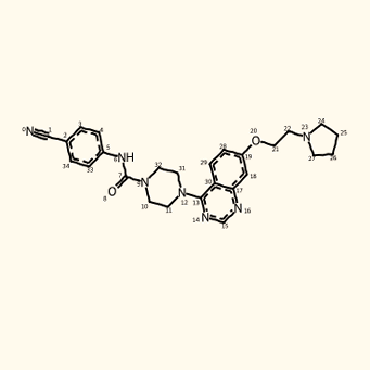 N#Cc1ccc(NC(=O)N2CCN(c3ncnc4cc(OCCN5CCCC5)ccc34)CC2)cc1